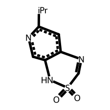 CC(C)c1cc2c(cn1)NS(=O)(=O)C=N2